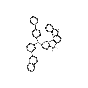 C[Si]1(C)c2ccc(N(c3ccc(-c4ccccc4)cc3)c3cccc(-c4ccc5ccccc5c4)c3)cc2-c2c1ccc1oc3ccccc3c21